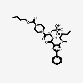 CCCCOC(=O)N1CCN(C(=O)[C@H](CP(=O)(O)O)NC(=O)c2nc(-c3ccccc3)sc2N(C)CCCC)CC1